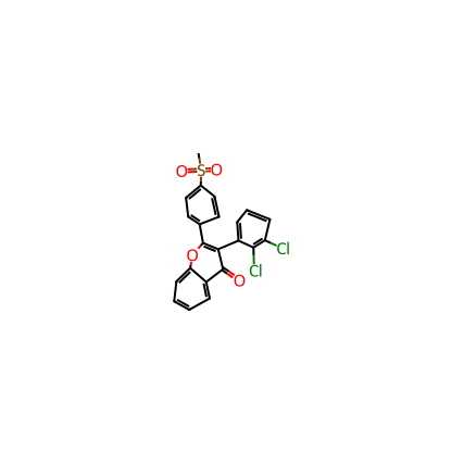 CS(=O)(=O)c1ccc(-c2oc3ccccc3c(=O)c2-c2cccc(Cl)c2Cl)cc1